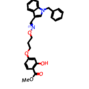 COC(=O)c1ccc(OCCCO/N=C/c2cn(Cc3ccccc3)c3ccccc23)cc1O